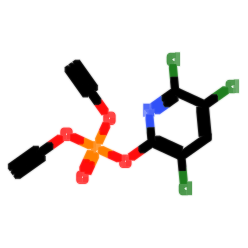 C#COP(=O)(OC#C)Oc1nc(Cl)c(Cl)cc1Cl